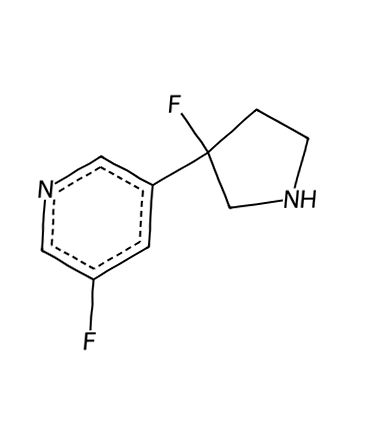 Fc1cncc(C2(F)CCNC2)c1